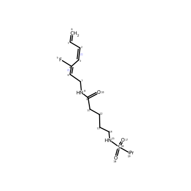 C=C/C=C\C(F)=C/CNC(=O)CCCCNS(=O)(=O)C(C)C